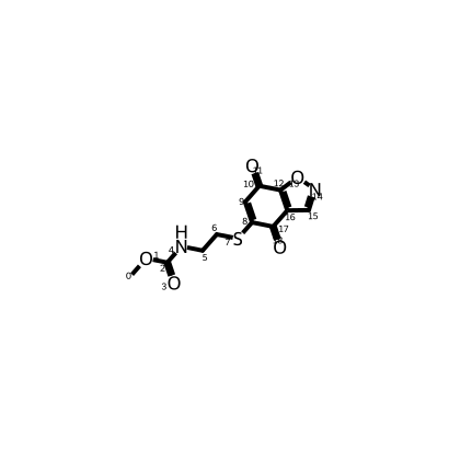 COC(=O)NCCSC1=CC(=O)c2oncc2C1=O